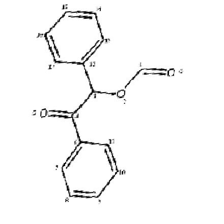 O=COC(C(=O)c1ccccc1)c1ccccc1